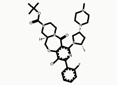 C[C@H]1C[C@@H](N2CCN(C)CC2)CN1c1nc(-c2ccccc2F)c(Cl)c2c1C(=O)N1CCN(C(=O)OC(C)(C)C)C[C@@H]1CO2